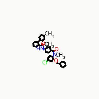 Cc1ccc(-c2ccccc2C(=O)Nc2ccc(C(=O)N(C)c3ccc(Cl)cc3OCc3ccccc3)cc2C)cc1